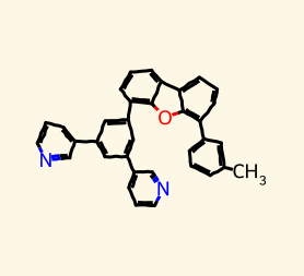 Cc1cccc(-c2cccc3c2oc2c(-c4cc(-c5cccnc5)cc(-c5cccnc5)c4)cccc23)c1